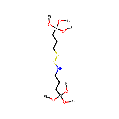 CCO[Si](CCCNSSCCC[Si](OCC)(OCC)OCC)(OCC)OCC